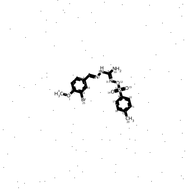 COc1ccc(C=NNC(N)=NOS(=O)(=O)c2ccc(C)cc2)cc1Br